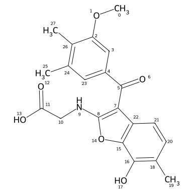 COc1cc(C(=O)c2c(NCC(=O)O)oc3c(O)c(C)ccc23)cc(C)c1C